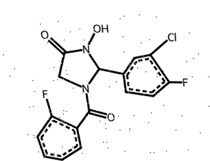 O=C1CN(C(=O)c2ccccc2F)C(c2ccc(F)c(Cl)c2)N1O